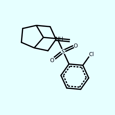 C=C1CC2CCC(C1)C2NS(=O)(=O)c1ccccc1Cl